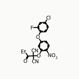 CCC(=O)C(C#N)(C#N)Oc1cc(Oc2ccc(Cl)cc2F)ccc1[N+](=O)[O-]